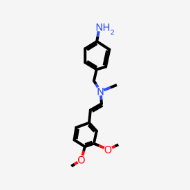 COc1ccc(C=CN(C)Cc2ccc(N)cc2)cc1OC